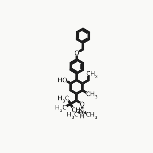 CCC1C(C)C(C(O[SiH](C)C)C(C)(C)C)CC(O)C1c1ccc(OCc2ccccc2)cc1